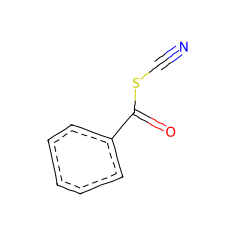 N#CSC(=O)c1ccccc1